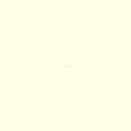 CCOP(=O)(OCC1CO1)Oc1ccccc1CC1CO1